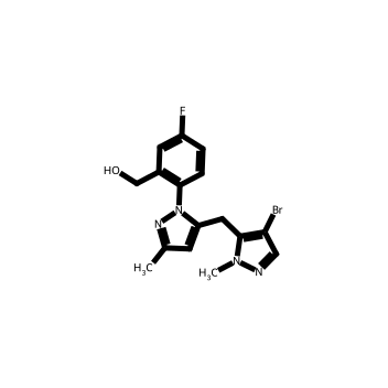 Cc1cc(Cc2c(Br)cnn2C)n(-c2ccc(F)cc2CO)n1